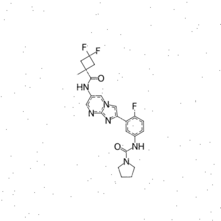 CC1(C(=O)Nc2cnc3nc(-c4cc(NC(=O)N5CCCC5)ccc4F)cn3c2)CC(F)(F)C1